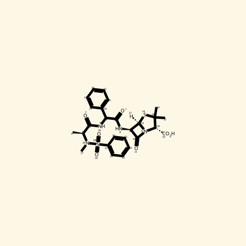 C[C@@H](C(=O)NC(C(=O)N[C@@H]1C(=O)N2[C@@H]1SC(C)(C)[C@@H]2C(=O)O)c1ccccc1)N(C)S(=O)(=O)c1ccccc1